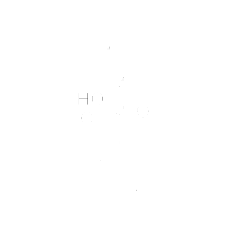 O=C(C(=O)C1(O)CCCCC1)c1ccccc1